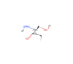 CN[C@@H](COC)C(C)=O